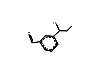 CCC(Cl)c1cccc(C=O)c1